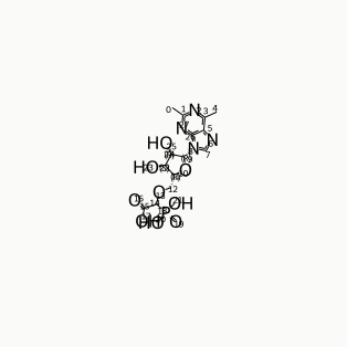 Cc1nc(C)c2ncn([C@@H]3O[C@H](COC(C(=O)O)P(=O)(O)O)[C@@H](O)[C@H]3O)c2n1